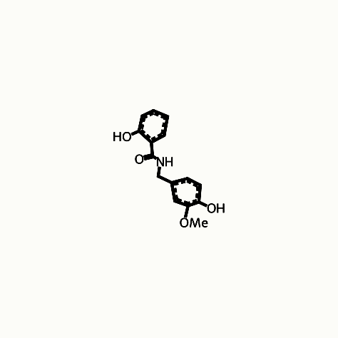 COc1cc(CNC(=O)c2ccccc2O)ccc1O